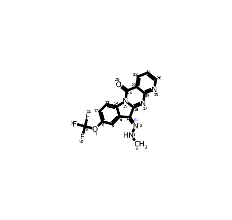 CN/N=C1\c2cc(OC(F)(F)F)ccc2-n2c1nc1ncccc1c2=O